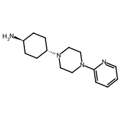 N[C@H]1CC[C@H](N2CCN(c3ccccn3)CC2)CC1